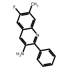 Cc1cc2nc(-c3ccccc3)c(N)cc2cc1F